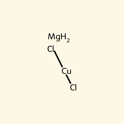 [Cl][Cu][Cl].[MgH2]